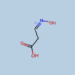 O=C(O)C/C=N\O